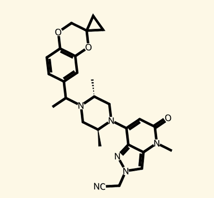 CC(c1ccc2c(c1)OC1(CC1)CO2)N1C[C@H](C)N(c2cc(=O)n(C)c3cn(CC#N)nc23)C[C@H]1C